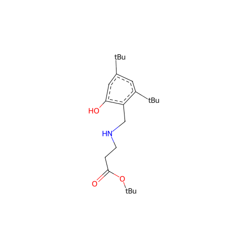 CC(C)(C)OC(=O)CCNCc1c(O)cc(C(C)(C)C)cc1C(C)(C)C